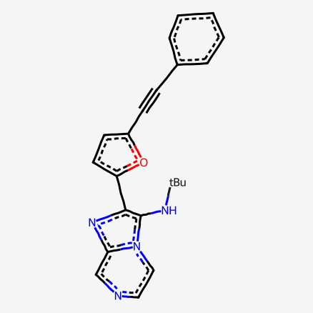 CC(C)(C)Nc1c(-c2ccc(C#Cc3ccccc3)o2)nc2cnccn12